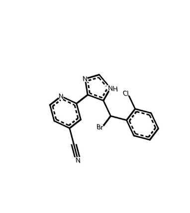 N#Cc1ccnc(-c2nc[nH]c2C(Br)c2ccccc2Cl)c1